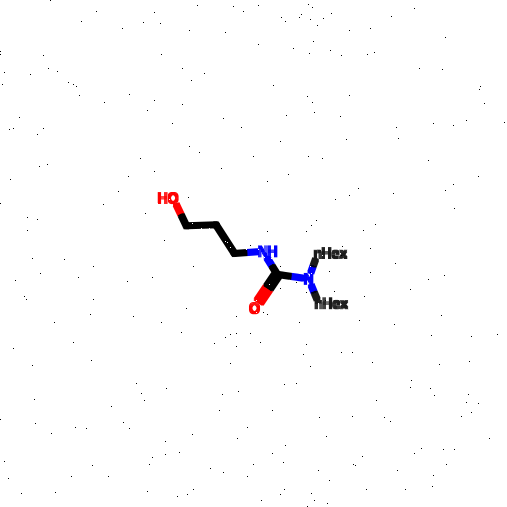 CCCCCCN(CCCCCC)C(=O)NCCCO